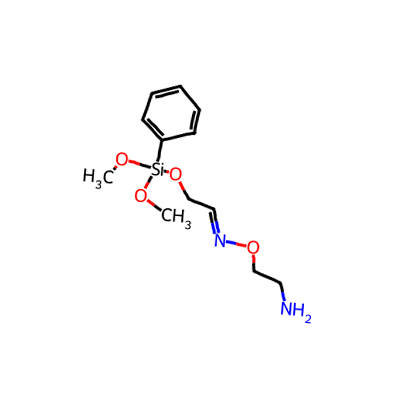 CO[Si](OC)(OCC=NOCCN)c1ccccc1